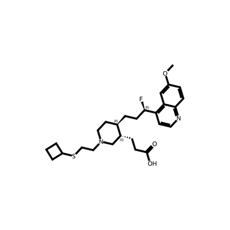 COc1ccc2nccc([C@H](F)CC[C@@H]3CCN(CCSC4CCC4)C[C@H]3CCC(=O)O)c2c1